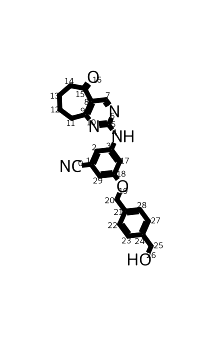 N#Cc1cc(Nc2ncc3c(n2)CCCCC3=O)cc(OCc2ccc(CO)cc2)c1